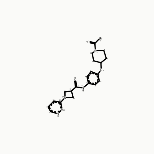 CC(C)C(=O)N1CCC(Oc2ccc(NC(=O)C3CN(c4cccnn4)C3)cc2)CC1